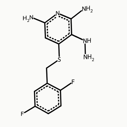 NNc1c(SCc2cc(F)ccc2F)cc(N)nc1N